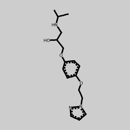 CC(C)NCC(O)COc1ccc(OCCn2cccn2)cc1